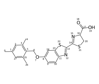 Cc1cc(C)c(COc2ccc3nc(C4=NC(C(=O)O)CS4)sc3c2)c(C)c1